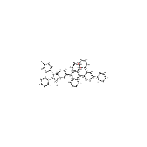 Cc1ccc(-c2c(-c3ccccc3)n(C)c3cc(-c4c5ccccc5c(-c5ccc(-c6ccccc6)cc5-c5ccccc5)c5ccccc45)ccc23)cc1